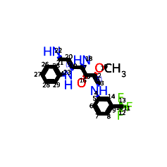 CO/C(=C/Nc1cccc(C(F)(F)F)c1)C(=O)C(=N)/C(=C/C=N)Nc1ccccc1